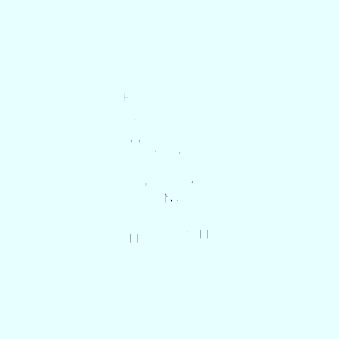 CC(C)N1CC[C@@H](OC(F)F)C1